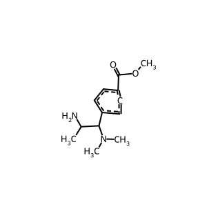 COC(=O)c1ccc(C(C(C)N)N(C)C)cc1